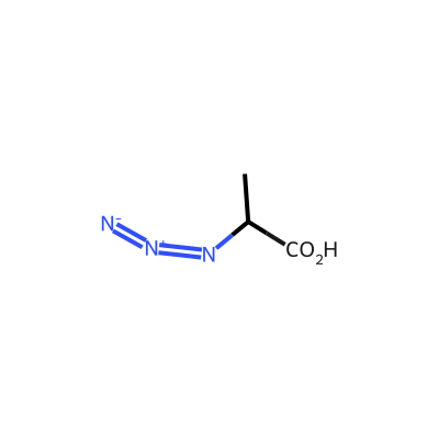 CC(N=[N+]=[N-])C(=O)O